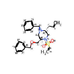 C=CC[C@@H]1CN(S(=O)(=O)C=C)[C@@H](COCc2ccccc2)CN1Cc1ccccc1